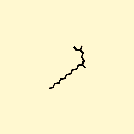 C=C/C(C)=C\C/C=C(/C)CCCCCCCCCCC